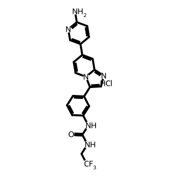 Cl.Nc1ccc(-c2ccn3c(-c4cccc(NC(=O)NCC(F)(F)F)c4)cnc3c2)cn1